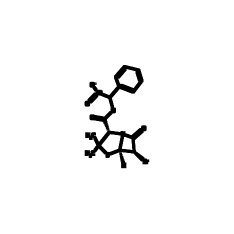 CC1(C)S[C@@H]2[C@H](Br)C(=O)N2[C@H]1C(=O)OC(c1ccccc1)[N+](=O)[O-]